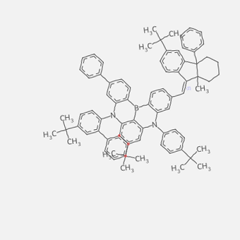 CC(C)(C)c1ccc(N2c3cc(/C=C4\c5ccc(C(C)(C)C)cc5C5(c6ccccc6)CCCCC45C)ccc3B3c4ccc(-c5ccccc5)cc4N(c4ccc(C(C)(C)C)cc4-c4ccccc4)c4cc(C(C)(C)C)cc2c43)cc1